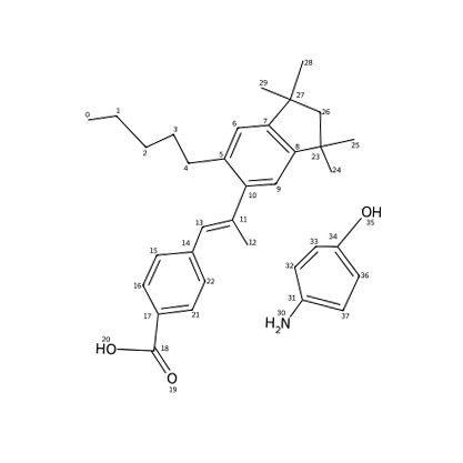 CCCCCc1cc2c(cc1C(C)=Cc1ccc(C(=O)O)cc1)C(C)(C)CC2(C)C.Nc1ccc(O)cc1